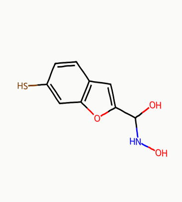 ONC(O)c1cc2ccc(S)cc2o1